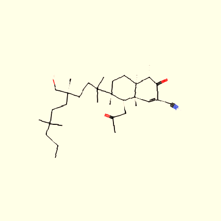 CCCC(C)(C)CC[C@](C)(CO)CCC(C)(C)[C@]1(C)CC[C@H]2[C@H](C)C(=O)C(C#N)=C[C@]2(C)[C@H]1CC(C)=O